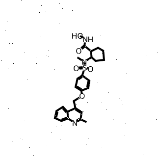 Cc1cc(COc2ccc(S(=O)(=O)N(C)C3CCCCC3C(=O)NO)cc2)c2ccccc2n1